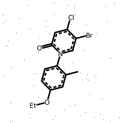 CCOc1ccc(-n2cc(Br)c(Cl)cc2=O)c(C)c1